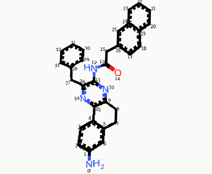 Nc1ccc2c(c1)CCc1nc(NC(=O)Cc3ccc4ccccc4c3)c(Cc3ccccc3)nc1-2